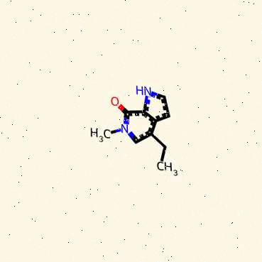 CCc1cn(C)c(=O)c2[nH]ccc12